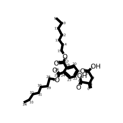 C=C(CC(=O)O)C(=O)O.CCCCCCCOC(=O)c1ccccc1C(=O)OCCCCCCC